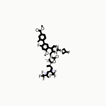 C=C(/C=C(\C=C(/C)C(F)(F)F)C(F)(F)F)[C@H]1OC(=O)N(Cc2nc(N3CC(F)C3)ncc2-c2cc(-c3ccc(C(=O)OC)cc3C)c(F)cc2OC)[C@H]1C